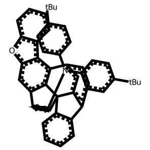 CC(C)(C)c1ccc(N(c2ccc(C(C)(C)C)cc2)c2ccc3c(c2)C24c5ccccc5-c5ccc(cc52)-c2c4c-3cc3oc4ccccc4c23)cc1